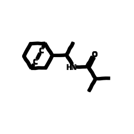 CC(C)C(=O)NC(C)C1CC2CCC1CC2